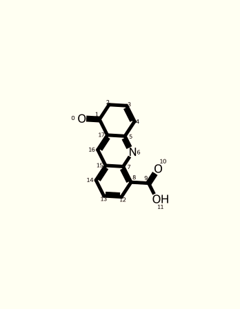 O=C1CC=Cc2nc3c(C(=O)O)cccc3cc21